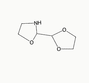 C1COC(C2OCCO2)N1